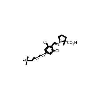 C[C@]1(C(=O)O)CCCN1N=Cc1c(Cl)cc(OCOCC[Si](C)(C)C)cc1Cl